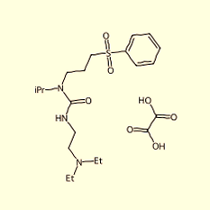 CCN(CC)CCNC(=O)N(CCCS(=O)(=O)c1ccccc1)C(C)C.O=C(O)C(=O)O